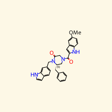 COc1ccc2[nH]c(C(=O)N3CC(=O)N(Cc4ccc5cc[nH]c5c4)[C@@H](Cc4ccccc4)C3)cc2c1